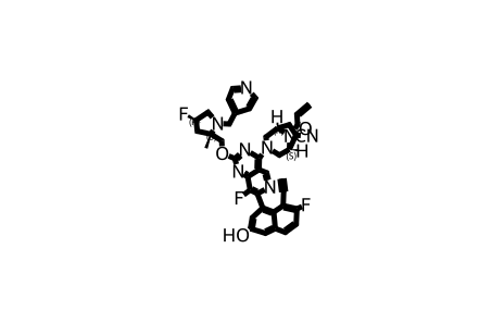 C#Cc1c(F)ccc2cc(O)cc(-c3ncc4c(N5C[C@H]6CC(C#N)[C@@H](C5)N6C(=O)C=C)nc(OC[C@]5(C)C[C@@H](F)CN5Cc5ccncc5)nc4c3F)c12